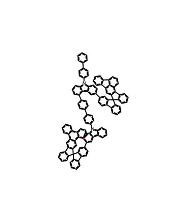 c1ccc(-c2ccc(-n3c4ccc(-c5ccc6c(c5)C5(c7ccccc7-6)c6ccccc6-c6c5cc5c7c(cccc67)-c6ccccc6-5)cc4c4c(-c5ccc(-c6ccc(-n7c8ccccc8c8cc(-c9ccc%10c(c9)C9(c%11ccccc%11-%10)c%10ccccc%10-c%10cc%11c%12ccccc%12c%12ccccc%12c%11cc%109)ccc87)cc6)cc5)cccc43)cc2)cc1